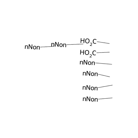 CC(=O)O.CC(=O)O.CCCCCCCCCC.CCCCCCCCCC.CCCCCCCCCC.CCCCCCCCCC.CCCCCCCCCC.CCCCCCCCCC